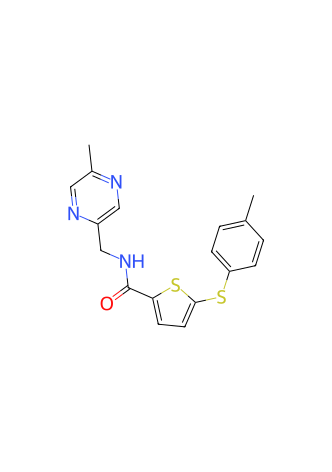 Cc1ccc(Sc2ccc(C(=O)NCc3cnc(C)cn3)s2)cc1